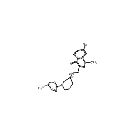 Cc1ccc(N2CCC[C@H](NCc3cn(C)c4cc(Br)ccc4c3=O)C2)cn1